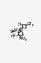 CCOC(=O)C(C)(C)OC(=O)Cc1cc(Oc2ccc(C(F)(F)F)cc2Cl)ccc1[N+](=O)[O-]